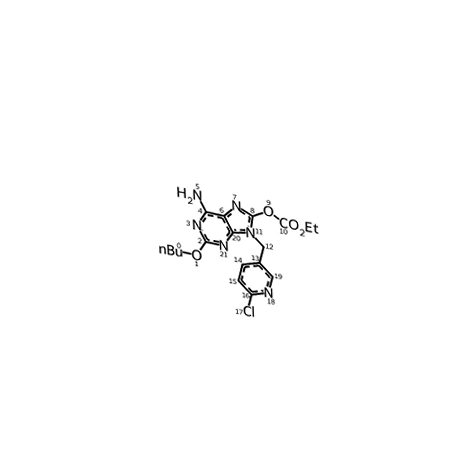 CCCCOc1nc(N)c2nc(OC(=O)OCC)n(Cc3ccc(Cl)nc3)c2n1